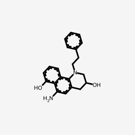 Nc1cc2c(c3cccc(O)c13)N(CCc1ccccc1)CC(O)C2